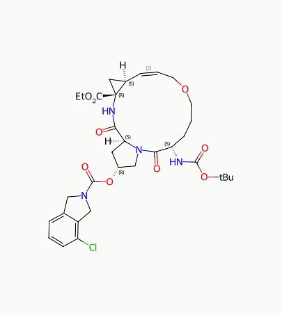 CCOC(=O)[C@@]12C[C@H]1/C=C\COCCC[C@H](NC(=O)OC(C)(C)C)C(=O)N1C[C@H](OC(=O)N3Cc4cccc(Cl)c4C3)C[C@H]1C(=O)N2